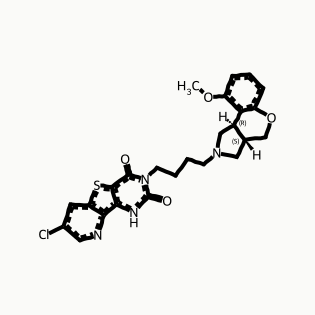 COc1cccc2c1[C@@H]1CN(CCCCn3c(=O)[nH]c4c(sc5cc(Cl)cnc54)c3=O)C[C@H]1CO2